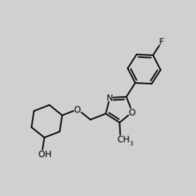 Cc1oc(-c2ccc(F)cc2)nc1COC1CCCC(O)C1